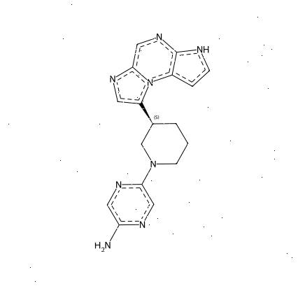 Nc1cnc(N2CCC[C@H](c3cnc4cnc5[nH]ccc5n34)C2)cn1